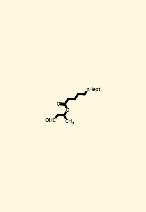 CCCCCCCCCCCC(=O)OC(C)CC=O